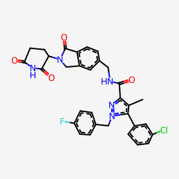 Cc1c(C(=O)NCc2ccc3c(c2)CN(C2CCC(=O)NC2=O)C3=O)nn(Cc2ccc(F)cc2)c1-c1cccc(Cl)c1